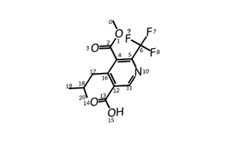 COC(=O)c1c(C(F)(F)F)ncc(C(=O)O)c1CC(C)C